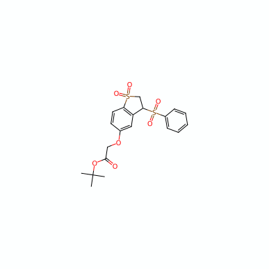 CC(C)(C)OC(=O)COc1ccc2c(c1)C(S(=O)(=O)c1ccccc1)CS2(=O)=O